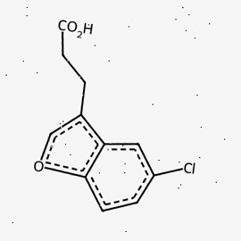 O=C(O)CCc1coc2ccc(Cl)cc12